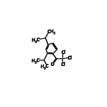 CC(C)c1ccc(C(=O)C(Cl)(Cl)Cl)c(C(C)C)c1